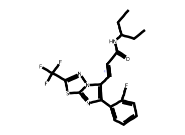 CCC(CC)NC(=O)/C=C/c1c(-c2ccccc2F)nc2sc(C(F)(F)F)nn12